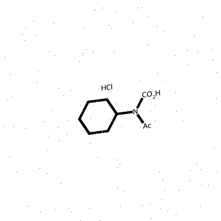 CC(=O)N(C(=O)O)C1CCCCC1.Cl